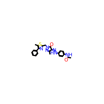 CC(=O)Nc1ccc(N/N=C2/C(=O)N(Cc3nc(-c4ccccc4)c(C)s3)N=C2C)cc1